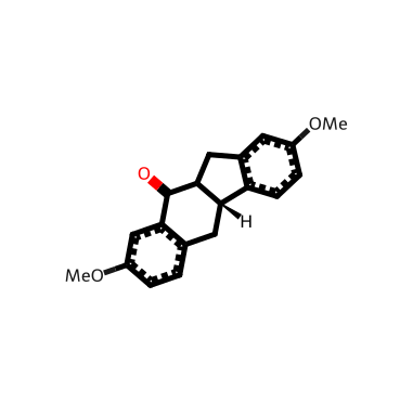 COc1ccc2c(c1)CC1C(=O)c3cc(OC)ccc3C[C@@H]21